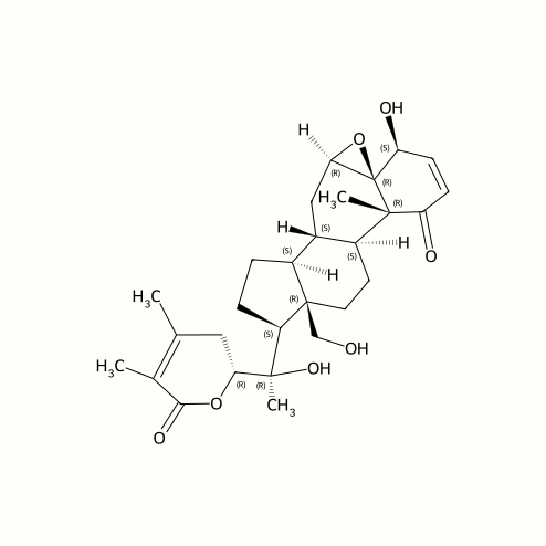 CC1=C(C)C(=O)O[C@@H]([C@](C)(O)[C@H]2CC[C@H]3[C@@H]4C[C@H]5O[C@]56[C@@H](O)C=CC(=O)[C@]6(C)[C@H]4CC[C@]23CO)C1